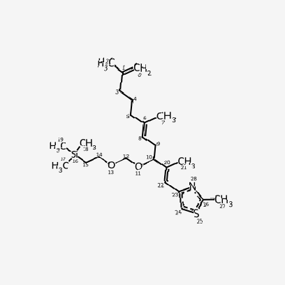 C=C(C)CCC/C(C)=C/CC(OCOCC[Si](C)(C)C)/C(C)=C/c1csc(C)n1